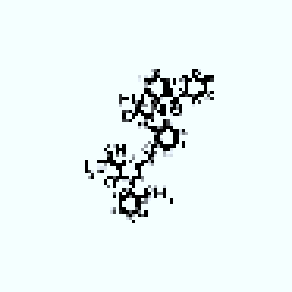 CC(C)=CC(=O)N(CCCOc1ccccc1C[C@H](Nc1ccccc1C(=O)c1ccccc1)C(=O)O)c1ccccc1C